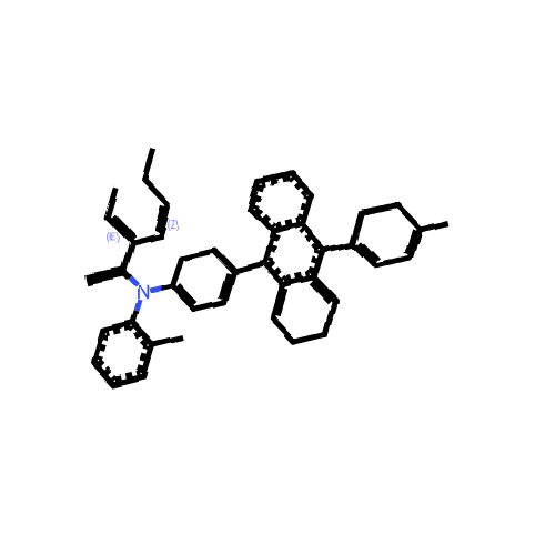 C=C(C(/C=C\CC)=C/C)N(C1=CC=C(c2c3c(c(C4=CC=C(C)CC4)c4ccccc24)=CCCC=3)CC1)c1ccccc1C